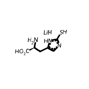 N[C@@H](Cc1cnc(S)[nH]1)C(=O)O.[LiH]